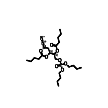 CCCCOP(=O)(OCCCC)OC[C@H](OC(=O)CCCC)[C@H](CN=[N+]=[N-])OC(=O)CCCC